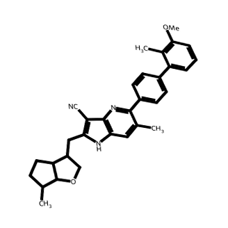 COc1cccc(-c2ccc(-c3nc4c(C#N)c(CC5COC6C(C)CCC56)[nH]c4cc3C)cc2)c1C